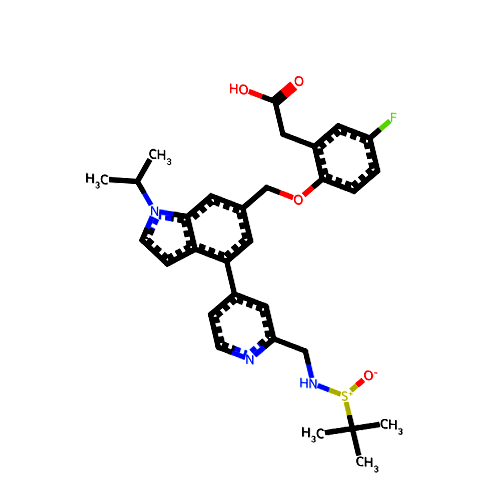 CC(C)n1ccc2c(-c3ccnc(CN[S+]([O-])C(C)(C)C)c3)cc(COc3ccc(F)cc3CC(=O)O)cc21